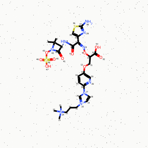 CC1(C)[C@H](NC(=O)/C(=N\OC(COc2ccc(-n3cc[n+](CCC[N+](C)(C)C)c3)nc2)C(=O)O)c2csc(N)n2)C(=O)N1OS(=O)(=O)O